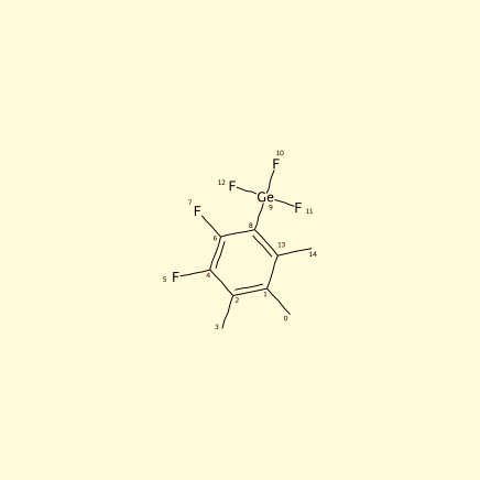 Cc1c(C)c(F)c(F)[c]([Ge]([F])([F])[F])c1C